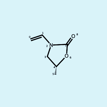 C=CN1C[C@@H](C)OC1=O